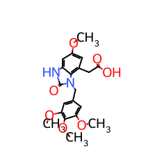 COc1cc(CC(=O)O)c2c(c1)[nH]c(=O)n2Cc1cc(OC)c(OC)c(OC)c1